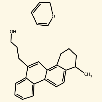 C1=CCOC=C1.CC1CCCc2c1ccc1c2cc(CCCO)c2ccccc21